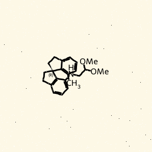 COC(CNc1cccc2c1[C@]1(CCc3cccc(C)c31)CC2)OC